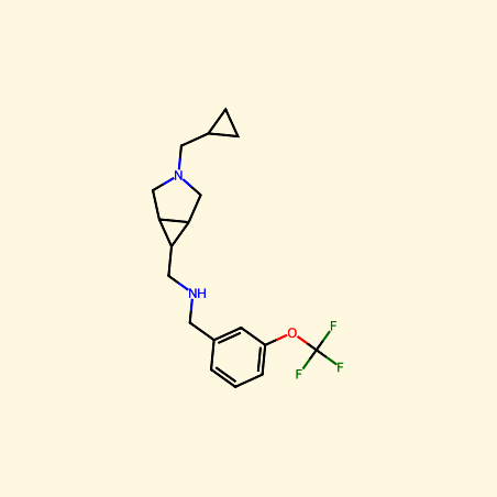 FC(F)(F)Oc1cccc(CNCC2C3CN(CC4CC4)CC23)c1